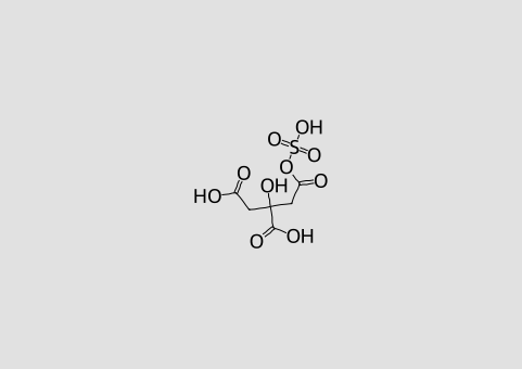 O=C(O)CC(O)(CC(=O)OS(=O)(=O)O)C(=O)O